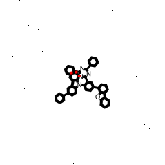 c1ccc(-c2ccc3c(c2)c2ccccc2n3-c2ccc(-c3cccc4c3oc3ccccc34)cc2-c2nc(-c3ccccc3)nc(-c3ccccc3)n2)cc1